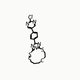 Clc1ncc(-c2ccc(-c3nc4nc(n3)SCCCCCCCS4)cc2)cn1